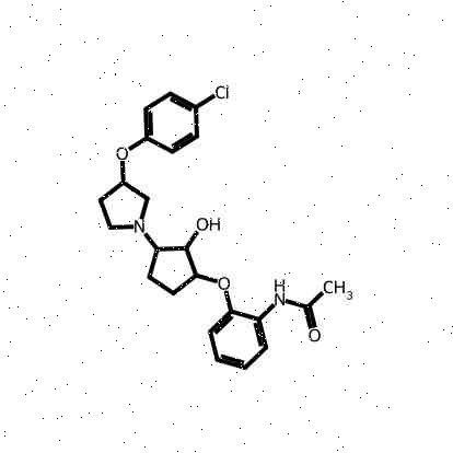 CC(=O)Nc1ccccc1OC1CCC(N2CCC(Oc3ccc(Cl)cc3)C2)C1O